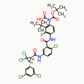 CC(C)(C)OC(=O)N(C(=O)O)c1ccc(NC(=O)c2cc(NC(=O)[C@H]3[C@H](c4cc(Cl)cc(Cl)c4)C3(Cl)Cl)ccc2Cl)c(F)c1C(C)(C)C